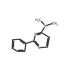 CN(C)c1ccnc(-c2ccccc2)n1